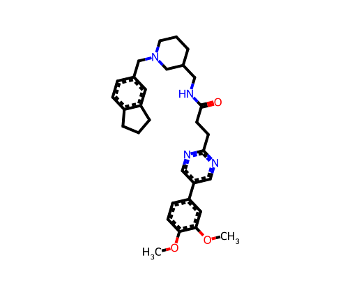 COc1ccc(-c2cnc(CCC(=O)NCC3CCCN(Cc4ccc5c(c4)CCC5)C3)nc2)cc1OC